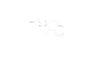 CC(C)(C)O[C@@H]1CCC2C(C(=O)O)C(=O)CC[C@]21C